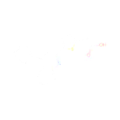 O=C(O)Cc1ccc(-c2cc(-c3ccccc3)c3ccccc3n2)s1